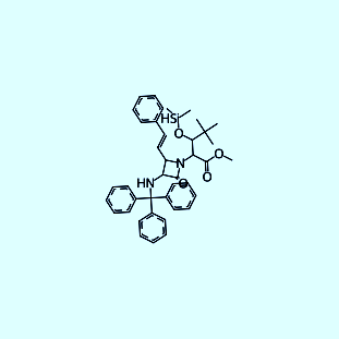 COC(=O)C(C(O[SiH](C)C)C(C)(C)C)N1C(=O)C(NC(c2ccccc2)(c2ccccc2)c2ccccc2)C1C=Cc1ccccc1